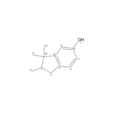 CC1Cc2ccc(O)cc2C1(C)C